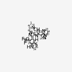 CN1CCC[C@@H]1Cn1cc(NC(=O)c2cnn3cccnc23)c(-c2cc3c(cc2OC(F)F)NCCS3)n1